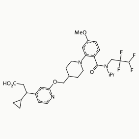 COc1ccc(C(=O)N(CC(F)(F)C(F)F)C(C)C)c(N2CCC(COc3cc(C(CC(=O)O)C4CC4)ccn3)CC2)c1